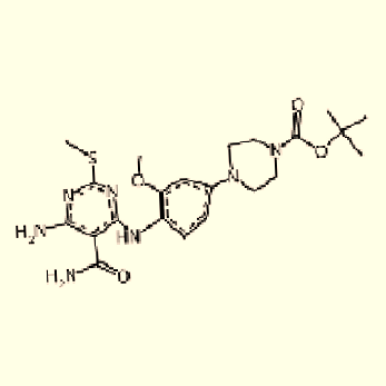 COc1cc(N2CCN(C(=O)OC(C)(C)C)CC2)ccc1Nc1nc(SC)nc(N)c1C(N)=O